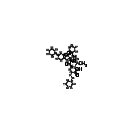 CC(C)CN(CC(CCc1ccccc1)C(=O)O)C(=O)N[C@@](Cc1ccccc1)(Cc1ccc(-c2ccccc2)cc1)C(=O)O